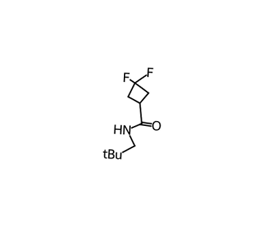 CC(C)(C)CNC(=O)C1CC(F)(F)C1